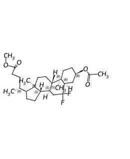 COC(=O)CC[C@@H](C)C1CC[C@H]2[C@@H]3CC(F)(F)[C@@H]4C[C@H](OC(C)=O)CC[C@]4(C)[C@H]3CC[C@]12C